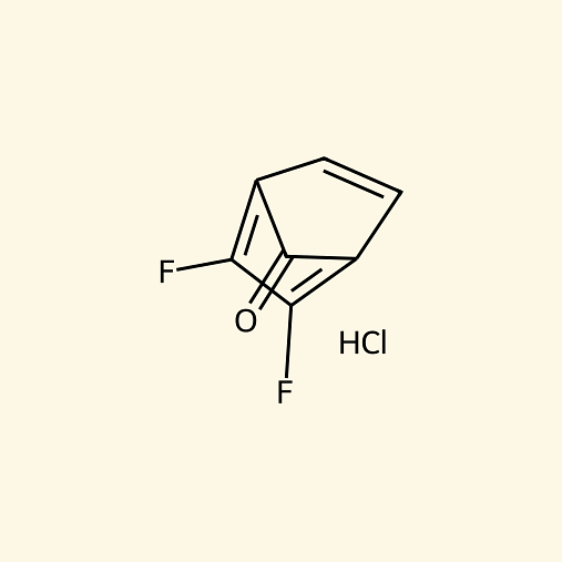 Cl.O=C1C2=C(F)C(F)=C1C=C2